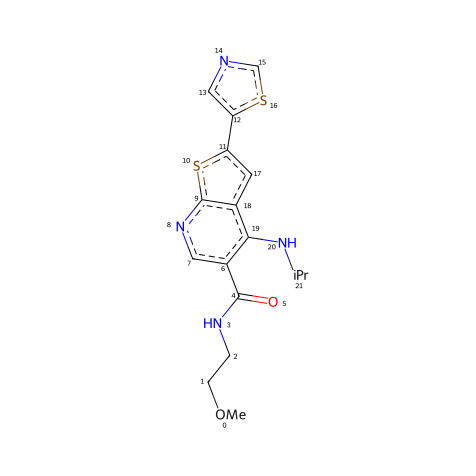 COCCNC(=O)c1cnc2sc(-c3cncs3)cc2c1NC(C)C